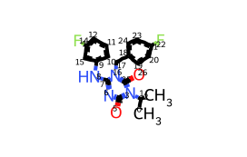 CC(C)n1c(=O)nc(Nc2cccc(F)c2)n(Cc2ccc(F)cc2)c1=O